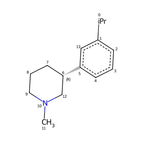 CC(C)c1cccc([C@H]2CCCN(C)C2)c1